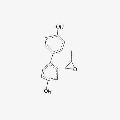 CC1CO1.Oc1ccc(-c2ccc(O)cc2)cc1